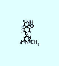 Cc1nc(I)cc(N2CCC3(CCNC3=O)CC2)n1